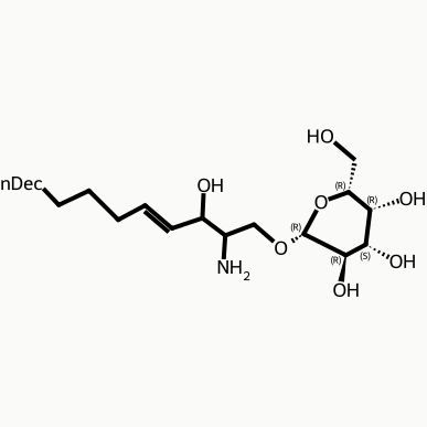 CCCCCCCCCCCCCC=CC(O)C(N)CO[C@@H]1O[C@H](CO)[C@H](O)[C@H](O)[C@H]1O